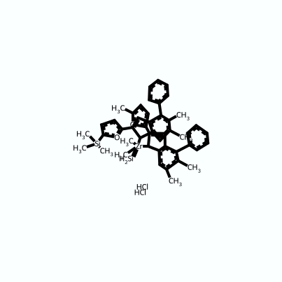 Cc1ccc(C2=Cc3c(cc(C)c(C)c3-c3ccccc3)[CH]2[Zr]([CH3])([CH3])(=[SiH2])[CH]2C(c3ccc([Si](C)(C)C)o3)=Cc3c2cc(C)c(C)c3-c2ccccc2)o1.Cl.Cl